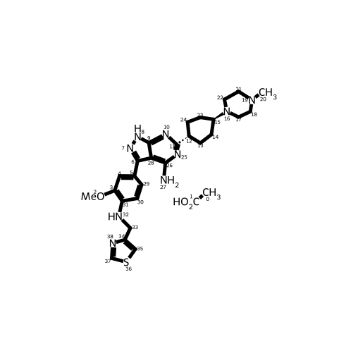 CC(=O)O.COc1cc(-c2n[nH]c3nc([C@H]4CC[C@H](N5CCN(C)CC5)CC4)nc(N)c23)ccc1NCc1cscn1